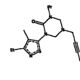 CC#CCN1CN(c2snc(CC)c2C)C(=O)N(C(C)C)C1